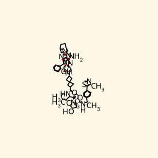 Cc1ncsc1-c1ccc([C@H](C)NC(=O)[C@@H]2C[C@@H](O)CN2C(=O)[C@@H](NC(=O)C2CC3(C2)CC(N2CCC(c4cnc(N5C6CCC5CN(c5cc(-c7ccccc7O)nnc5N)C6)nc4)CC2)C3)C(C)(C)C)cc1